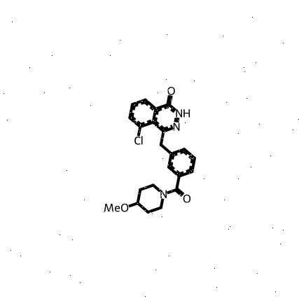 COC1CCN(C(=O)c2cccc(Cc3n[nH]c(=O)c4cccc(Cl)c34)c2)CC1